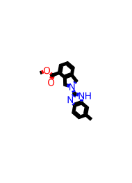 COC(=O)c1cccc2c1CN(c1nc3ccc(C)cc3[nH]1)C2